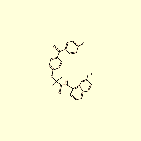 CC(C)(Oc1ccc(C(=O)c2ccc(Cl)cc2)cc1)C(=O)Nc1cccc2ccc(O)cc12